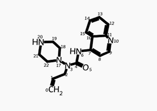 C=CCN(C(=O)Nc1ccnc2ccccc12)N1CCNCC1